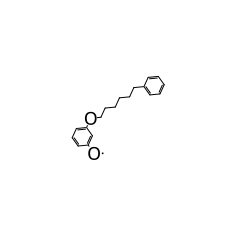 [O]c1cccc(OCCCCCCc2ccccc2)c1